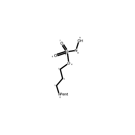 CCCCCCCCOS(=O)(=O)[N]O